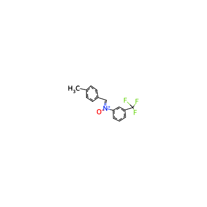 Cc1ccc(C=[N+]([O-])c2cccc(C(F)(F)F)c2)cc1